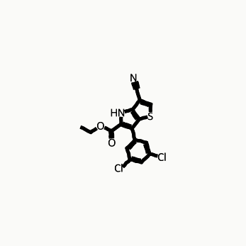 CCOC(=O)c1[nH]c2c(C#N)csc2c1-c1cc(Cl)cc(Cl)c1